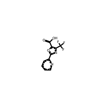 O=C(O)c1oc(-c2ccccn2)nc1C(F)(F)F